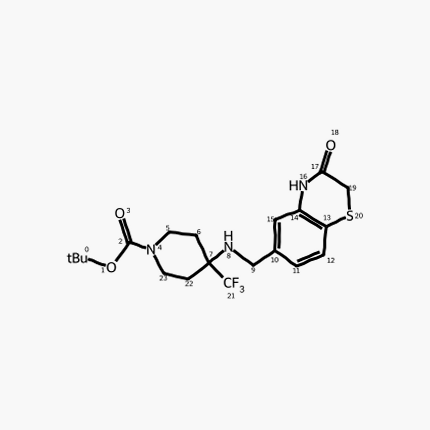 CC(C)(C)OC(=O)N1CCC(NCc2ccc3c(c2)NC(=O)CS3)(C(F)(F)F)CC1